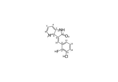 O=C1Nc2cccnc2C1=Cc1cccc(Cl)c1F